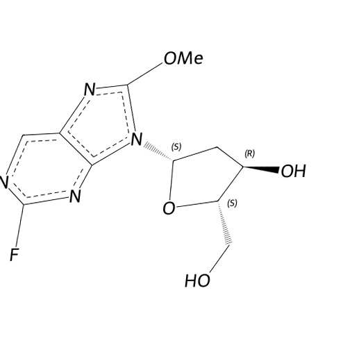 COc1nc2cnc(F)nc2n1[C@@H]1C[C@@H](O)[C@H](CO)O1